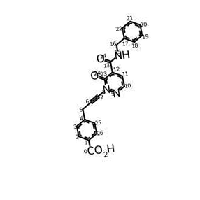 O=C(O)c1ccc(CC#Cn2nccc(C(=O)NCc3ccccc3)c2=O)cc1